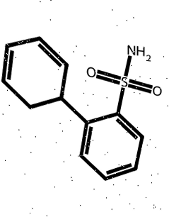 NS(=O)(=O)c1ccccc1C1C=CC=CC1